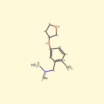 CC(C)(C)N(Cc1cc(OC2CCOC2)ccc1[N+](=O)[O-])C(=O)O